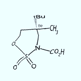 CC(C)(C)[C@@]1(C)COS(=O)(=O)N1C(=O)O